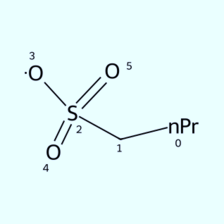 CCCCS([O])(=O)=O